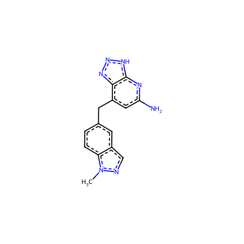 Cn1ncc2cc(Cc3cc(N)nc4[nH]nnc34)ccc21